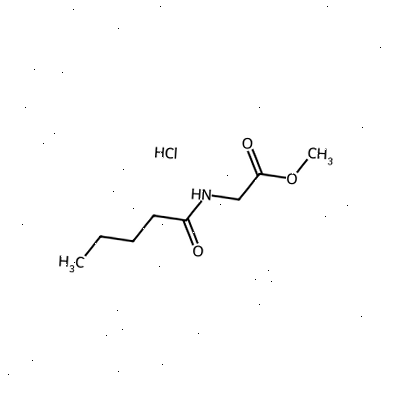 CCCCC(=O)NCC(=O)OC.Cl